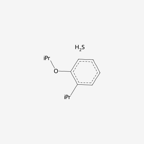 CC(C)Oc1ccccc1C(C)C.S